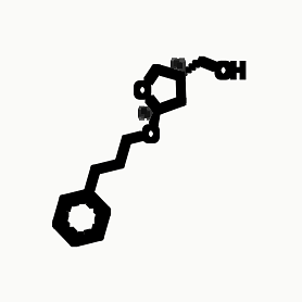 OC[C@H]1CO[C@H](OCCCc2ccccc2)C1